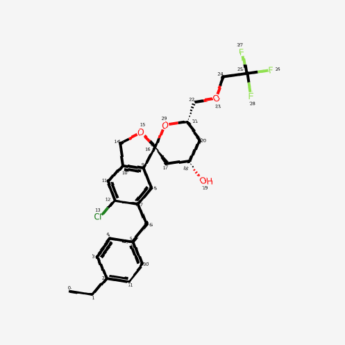 CCc1ccc(Cc2cc3c(cc2Cl)CO[C@@]32C[C@@H](O)C[C@@H](COCC(F)(F)F)O2)cc1